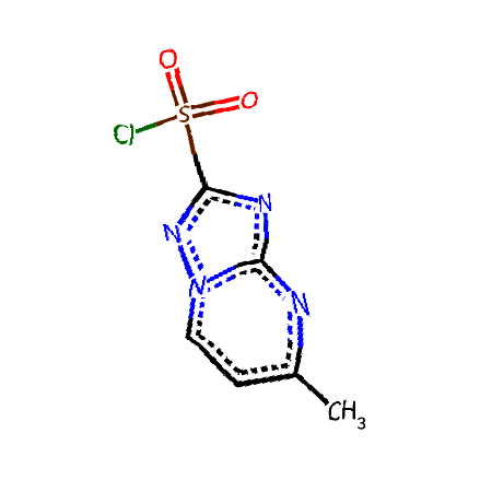 Cc1ccn2nc(S(=O)(=O)Cl)nc2n1